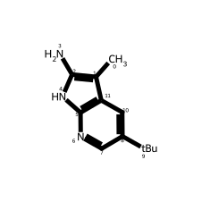 Cc1c(N)[nH]c2ncc(C(C)(C)C)cc12